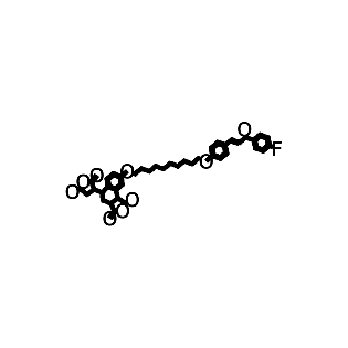 O=C1CC(C2CC3C(=O)OC(=O)C3c3cc(OCCCCCCCCCCOc4ccc(/C=C/C(=O)c5ccc(F)cc5)cc4)ccc32)C(=O)O1